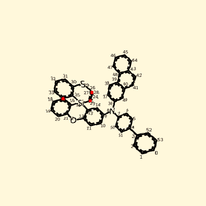 c1ccc(-c2ccc(N(c3ccc4c(c3)[Si]3(c5ccccc5O4)c4ccccc4Sc4ccccc43)c3ccc4c(ccc5ccccc54)c3)cc2)cc1